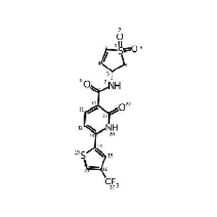 O=C(N[C@@H]1C=CS(=O)(=O)C1)c1ccc(-c2cc(C(F)(F)F)cs2)[nH]c1=O